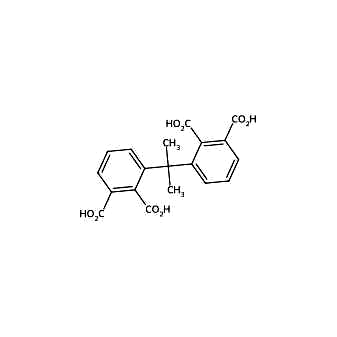 CC(C)(c1cccc(C(=O)O)c1C(=O)O)c1cccc(C(=O)O)c1C(=O)O